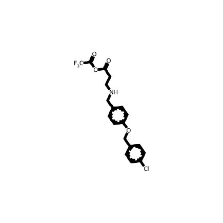 O=C(CCNCc1ccc(OCc2ccc(Cl)cc2)cc1)OC(=O)C(F)(F)F